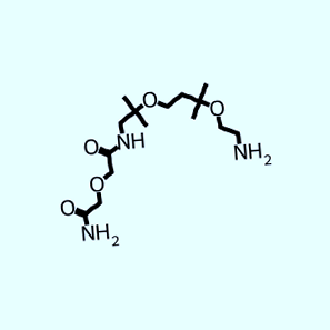 CC(C)(CCOC(C)(C)CNC(=O)COCC(N)=O)OCCN